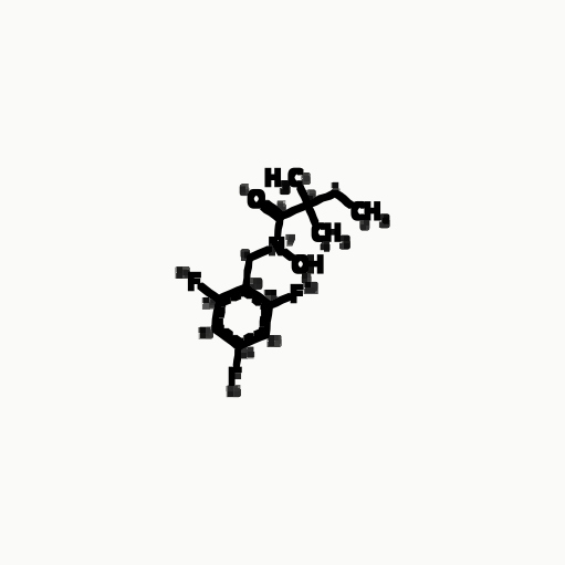 CCC(C)(C)C(=O)N(O)Cc1c(F)cc(F)cc1F